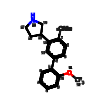 COc1ccc(-c2ccccc2OC(F)(F)F)cc1C1CCNC1